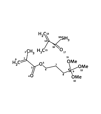 C=C(C)C(=O)OCCC[Si](OC)(OC)OC.C=C(C)C(=O)[SiH3]